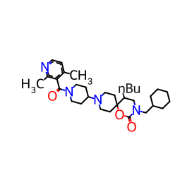 CCCCC1CN(CC2CCCCC2)C(=O)OC12CCN(C1CCN(C(=O)c3c(C)ccnc3C)CC1)CC2